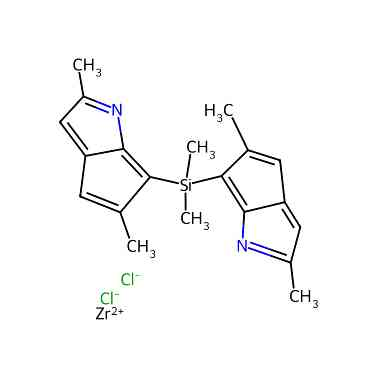 CC1=CC2=CC(C)=NC2=C1[Si](C)(C)C1=C2N=C(C)C=C2C=C1C.[Cl-].[Cl-].[Zr+2]